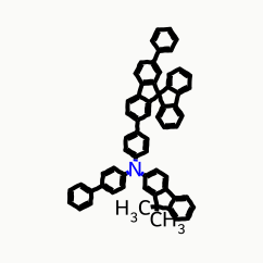 CC1(C)c2ccccc2-c2ccc(N(c3ccc(-c4ccccc4)cc3)c3ccc(-c4ccc5c(c4)C4(c6ccccc6-c6ccccc64)c4cc(-c6ccccc6)ccc4-5)cc3)cc21